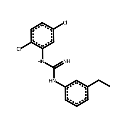 CCc1cccc(NC(=N)Nc2cc(Cl)ccc2Cl)c1